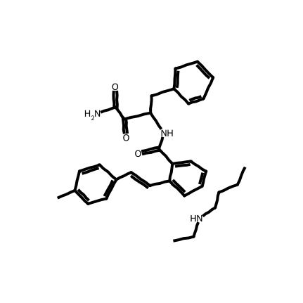 CCCCNCC.Cc1ccc(C=Cc2ccccc2C(=O)NC(Cc2ccccc2)C(=O)C(N)=O)cc1